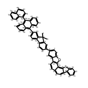 CC1(C)c2cc(-c3ccc4oc5c(ccc6ccc7c8ccccc8sc7c65)c4c3)ccc2-c2ccc(-c3c4ccccc4c(-c4cccc5ccccc45)c4ccccc34)cc21